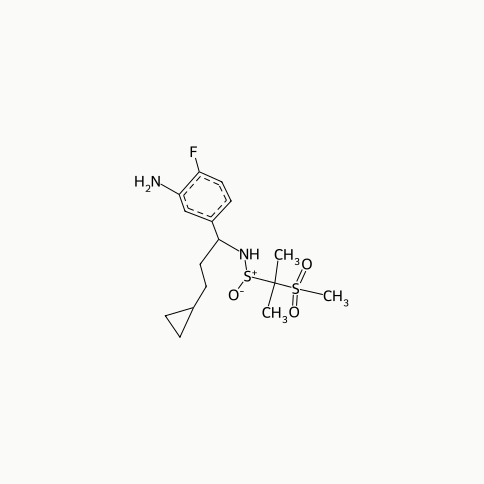 CC(C)([S+]([O-])NC(CCC1CC1)c1ccc(F)c(N)c1)S(C)(=O)=O